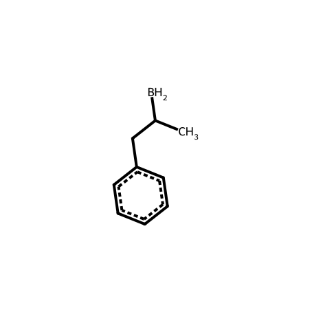 BC(C)Cc1ccccc1